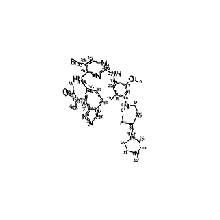 COc1cc(N2CCC(N3CCN(C)CC3)CC2)c(C)cc1Nc1ncc(Br)c(Nc2ccn3cnnc3c2P(C)(C)=O)n1